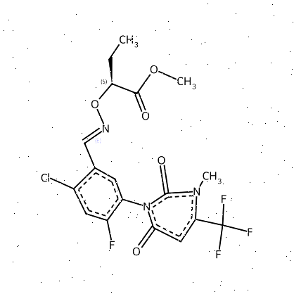 CC[C@H](O/N=C/c1cc(-n2c(=O)cc(C(F)(F)F)n(C)c2=O)c(F)cc1Cl)C(=O)OC